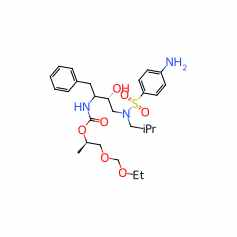 CCOCOC[C@@H](C)OC(=O)NC(Cc1ccccc1)[C@H](O)CN(CC(C)C)S(=O)(=O)c1ccc(N)cc1